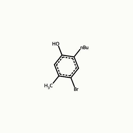 CCCCc1cc(Br)c(C)cc1O